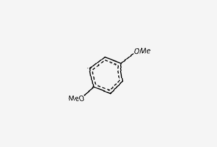 COc1[c]cc(OC)cc1